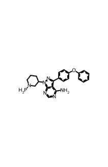 Nc1ncnc2c1c(-c1ccc(Oc3ccccc3)cc1)nn2C1CCCN(P)C1